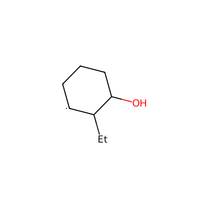 CCC1[CH]CCCC1O